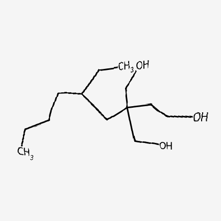 CCCCC(CC)CC(CO)(CO)CCO